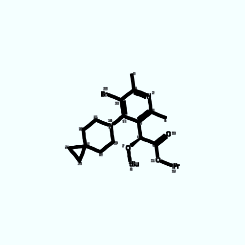 Cc1nc(C)c([C@H](OC(C)(C)C)C(=O)OC(C)C)c(N2CCC3(CC2)CC3)c1Br